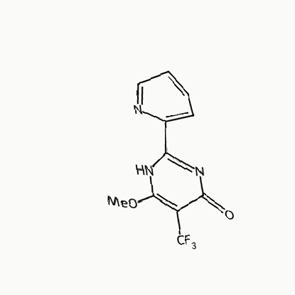 COc1[nH]c(-c2ccccn2)nc(=O)c1C(F)(F)F